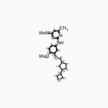 CNc1cc(C)nc(Nc2ccc(OC)c(OCC3CCC(C4COC4)C3)c2)n1